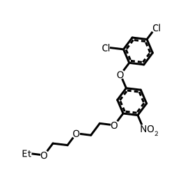 CCOCCOCCOc1cc(Oc2ccc(Cl)cc2Cl)ccc1[N+](=O)[O-]